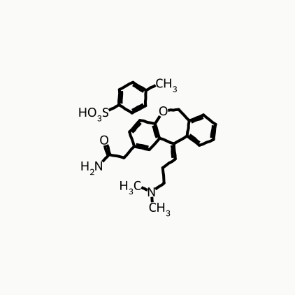 CN(C)CC/C=C1/c2ccccc2COc2ccc(CC(N)=O)cc21.Cc1ccc(S(=O)(=O)O)cc1